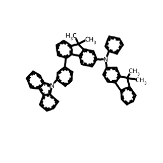 CC1(C)c2ccccc2-c2ccc(N(c3ccccc3)c3ccc4c(c3)C(C)(C)c3cccc(-c5cccc(-n6c7ccccc7c7ccccc76)c5)c3-4)cc21